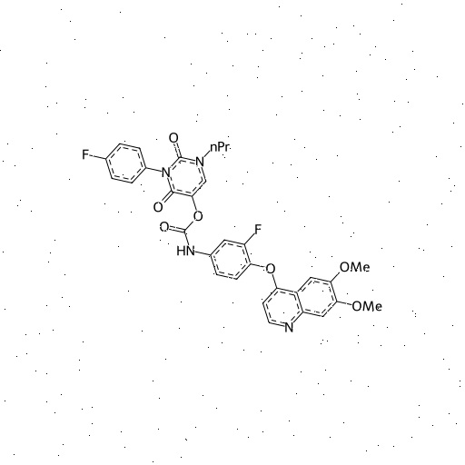 CCCn1cc(OC(=O)Nc2ccc(Oc3ccnc4cc(OC)c(OC)cc34)c(F)c2)c(=O)n(-c2ccc(F)cc2)c1=O